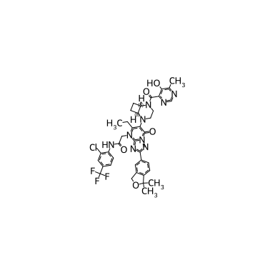 CCc1c(N2CCN(C(=O)c3ncnc(C)c3O)[C@H]3CC[C@@H]32)c(=O)n2nc(-c3ccc4c(c3)COC4(C)C)nc2n1CC(=O)Nc1ccc(C(F)(F)F)cc1Cl